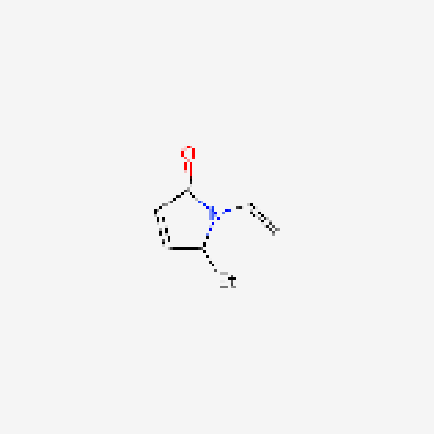 C=CN1C(=O)C=CC1CC